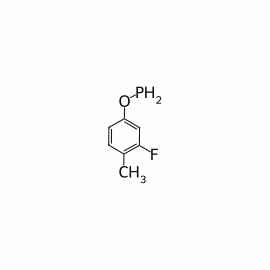 Cc1ccc(OP)cc1F